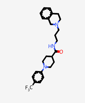 O=C(NCCCN1CCc2ccccc2C1)C1CCN(c2ccc(C(F)(F)F)cc2)CC1